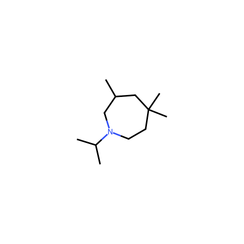 CC1CN(C(C)C)CCC(C)(C)C1